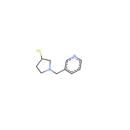 SC1CCN(Cc2cccnc2)C1